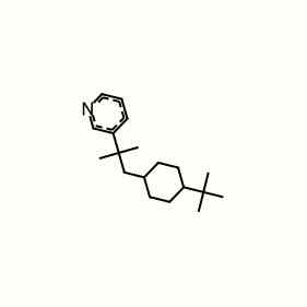 CC(C)(CC1CCC(C(C)(C)C)CC1)c1cccnc1